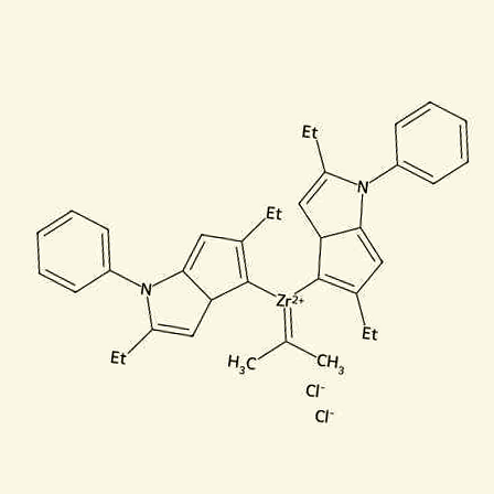 CCC1=CC2C(=CC(CC)=[C]2[Zr+2]([C]2=C(CC)C=C3C2C=C(CC)N3c2ccccc2)=[C](C)C)N1c1ccccc1.[Cl-].[Cl-]